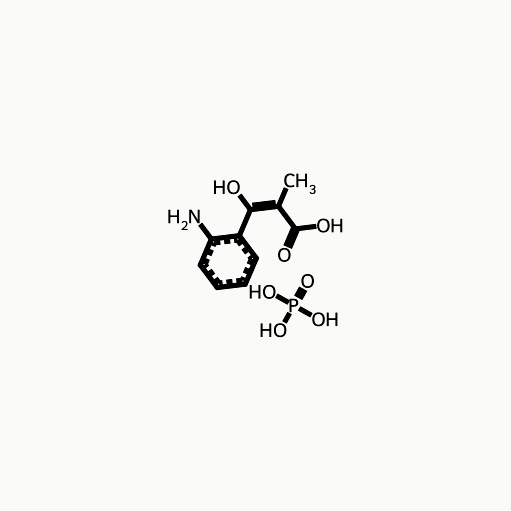 CC(C(=O)O)=C(O)c1ccccc1N.O=P(O)(O)O